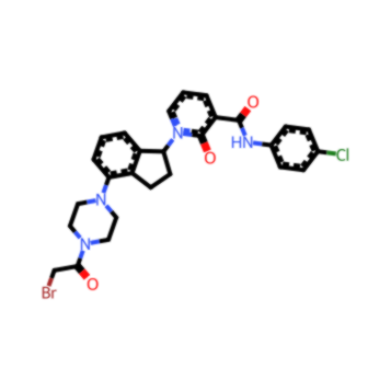 O=C(Nc1ccc(Cl)cc1)c1cccn(C2CCc3c2cccc3N2CCN(C(=O)CBr)CC2)c1=O